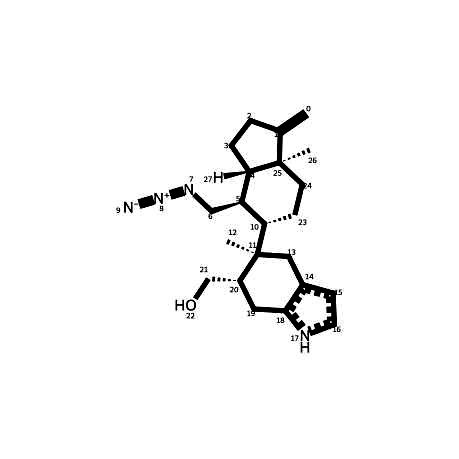 C=C1CC[C@H]2[C@H](CN=[N+]=[N-])[C@@H]([C@@]3(C)Cc4cc[nH]c4C[C@@H]3CO)CC[C@]12C